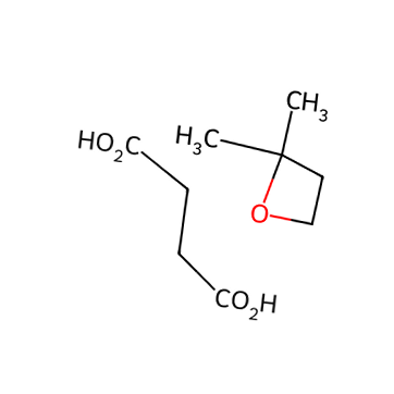 CC1(C)CCO1.O=C(O)CCC(=O)O